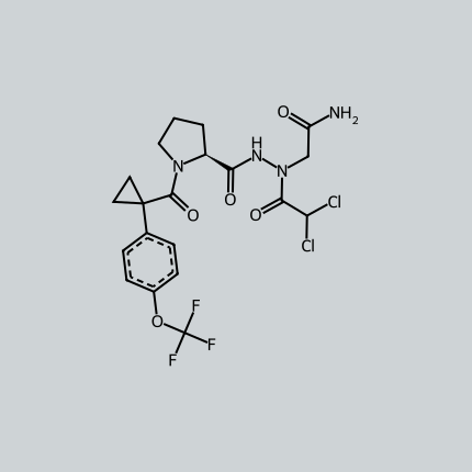 NC(=O)CN(NC(=O)[C@@H]1CCCN1C(=O)C1(c2ccc(OC(F)(F)F)cc2)CC1)C(=O)C(Cl)Cl